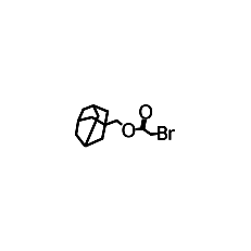 O=C(CBr)OCC12CC3CC(CC(C3)C1)C2